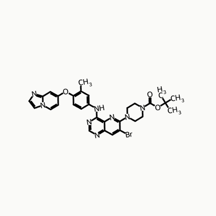 Cc1cc(Nc2ncnc3cc(Br)c(N4CCN(C(=O)OC(C)(C)C)CC4)nc23)ccc1Oc1ccn2ccnc2c1